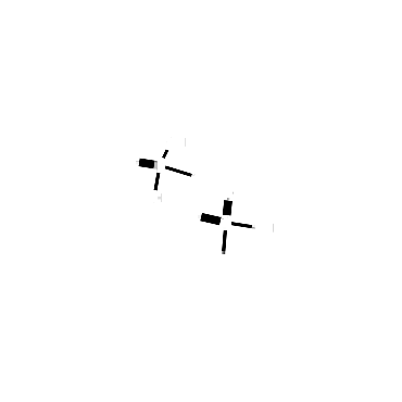 O=P(O)(O)O.O=S(=O)(O)F